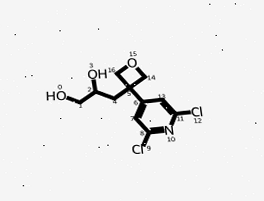 OCC(O)CC1(c2cc(Cl)nc(Cl)c2)COC1